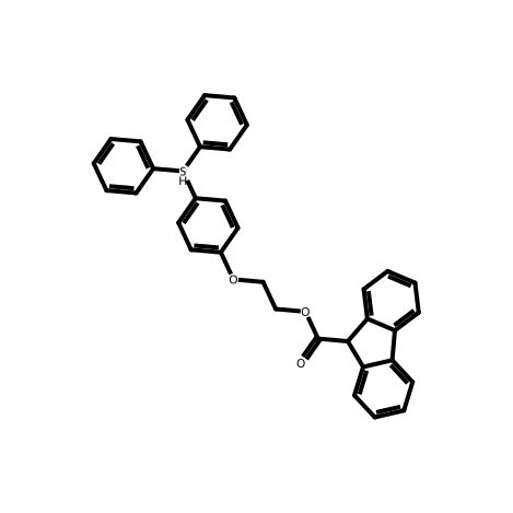 O=C(OCCOc1ccc([SH](c2ccccc2)c2ccccc2)cc1)C1c2ccccc2-c2ccccc21